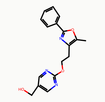 Cc1oc(-c2ccccc2)nc1CCOc1ncc(CO)cn1